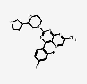 Cc1cnc2c(-c3ccc(F)cc3F)nc(N3CCOC(C4CCOC4)C3)nc2n1